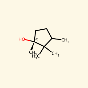 CC1CC[C@@](C)(O)C1(C)C